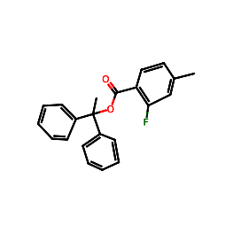 Cc1ccc(C(=O)OC(C)(c2ccccc2)c2ccccc2)c(F)c1